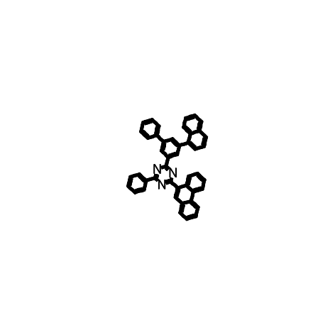 c1ccc(-c2cc(-c3nc(-c4ccccc4)nc(-c4cc5ccccc5c5ccccc45)n3)cc(-c3cccc4ccccc34)c2)cc1